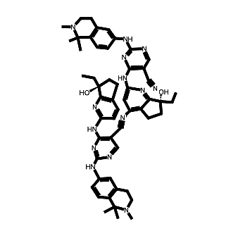 CC[C@]1(O)CCc2ccc(Nc3nc(Nc4ccc5c(c4)CCN(C)C5(C)C)ncc3C#[N+]c3cc(Nc4nc(Nc5ccc6c(c5)CCN(C)C6(C)C)ncc4C#N)nc4c3CC[C@]4(O)CC)nc21